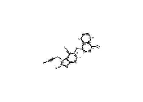 CC#CCn1c(Br)nc2cnn(Cc3ccc(C#N)c4ccccc34)c(=O)c21